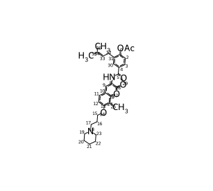 CC(=O)Oc1ccc(C(=O)Nc2cc3ccc(OCCCN4CCCCC4)c(C)c3oc2=O)cc1CC=C(C)C